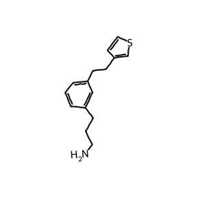 NCCCc1cccc(CCc2ccsc2)c1